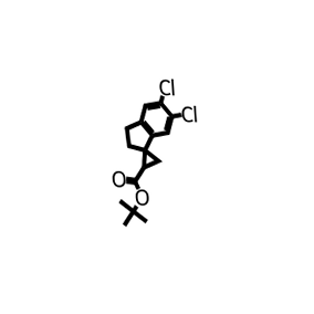 CC(C)(C)OC(=O)C1CC12CCc1cc(Cl)c(Cl)cc12